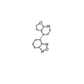 c1cc(-c2ccnc3occc23)c2nonc2c1